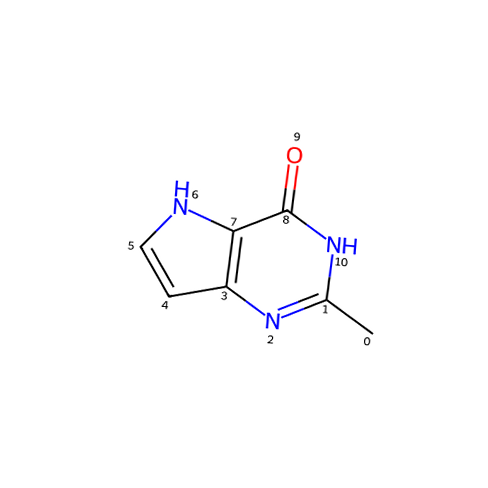 Cc1nc2cc[nH]c2c(=O)[nH]1